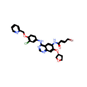 O=C(C=CCBr)Nc1cc2c(Nc3ccc(OCc4ccccn4)c(Cl)c3)ncnc2cc1O[C@H]1CCOC1